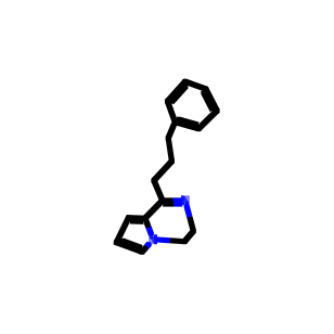 c1ccc(CCCC2=NCCn3cccc32)cc1